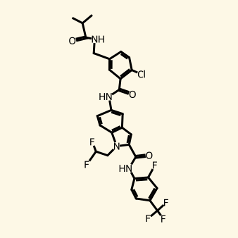 CC(C)C(=O)NCc1ccc(Cl)c(C(=O)Nc2ccc3c(c2)cc(C(=O)Nc2ccc(C(F)(F)F)cc2F)n3CC(F)F)c1